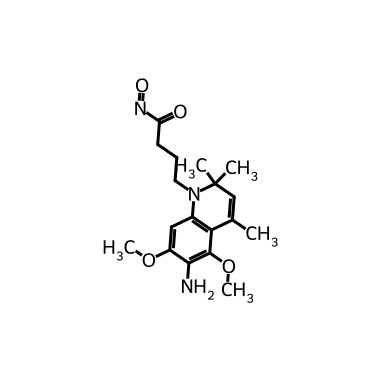 COc1cc2c(c(OC)c1N)C(C)=CC(C)(C)N2CCCC(=O)N=O